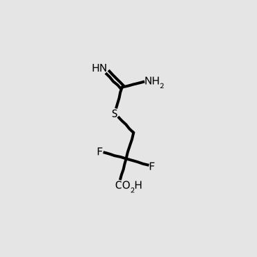 N=C(N)SCC(F)(F)C(=O)O